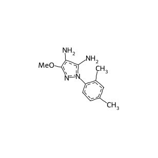 COc1nn(-c2ccc(C)cc2C)c(N)c1N